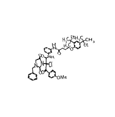 CCC(C)(C)c1ccc(OCCCC(=O)Nc2cccc(NC(=O)C(Cl)(C(=O)c3ccc(OC)cc3)N3C(=O)CN(Cc4ccccc4)C3=O)c2)c(C(C)(C)CC)c1